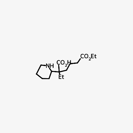 CCOC(=O)CCCC(CC)(C(=O)O)C1CCCCN1